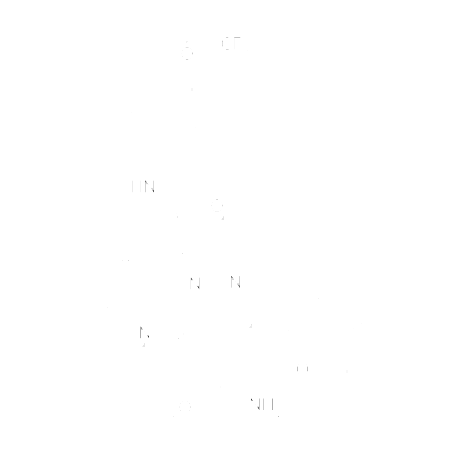 NC(=O)c1c(C2CCCO2)nn2c(C(=O)N[C@H]3C[C@@H](OC(F)(F)F)C3)ccnc12